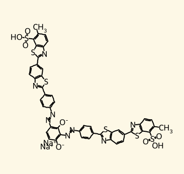 Cc1ccc2nc(-c3ccc4nc(-c5ccc(N=Nc6ccc([O-])c(N=Nc7ccc(-c8nc9ccc(-c%10nc%11ccc(C)c(S(=O)(=O)O)c%11s%10)cc9s8)cc7)c6[O-])cc5)sc4c3)sc2c1S(=O)(=O)O.[Na+].[Na+]